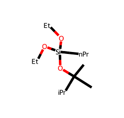 CCC[Si](OCC)(OCC)OC(C)(C)C(C)C